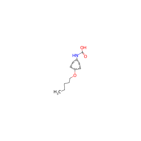 CCCCCOc1ccc(NC(=O)O)cc1